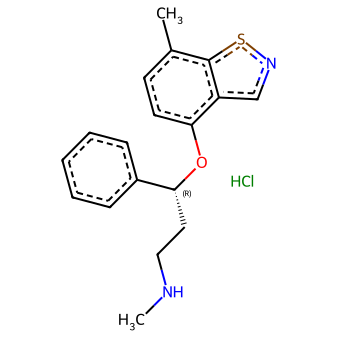 CNCC[C@@H](Oc1ccc(C)c2sncc12)c1ccccc1.Cl